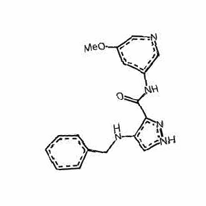 COc1cncc(NC(=O)c2n[nH]cc2NCc2ccccc2)c1